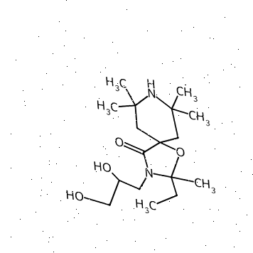 CCC1(C)OC2(CC(C)(C)NC(C)(C)C2)C(=O)N1CC(O)CO